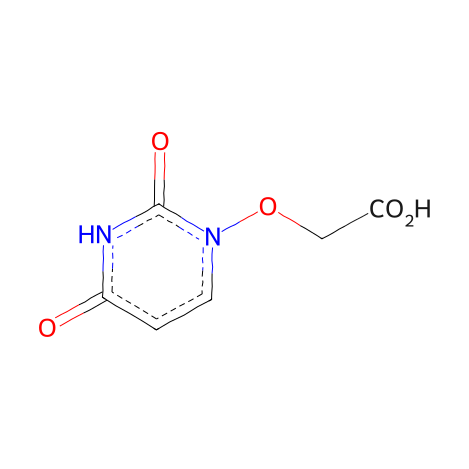 O=C(O)COn1ccc(=O)[nH]c1=O